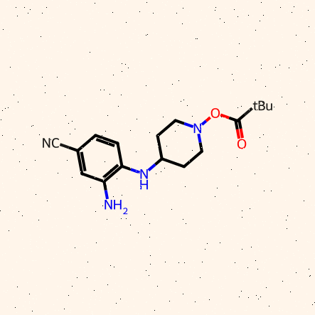 CC(C)(C)C(=O)ON1CCC(Nc2ccc(C#N)cc2N)CC1